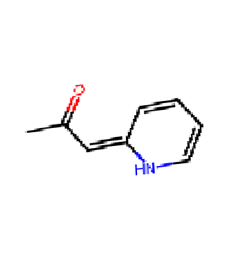 CC(=O)C=C1C=CC=CN1